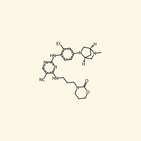 CCc1cc(N2C[C@H]3C[C@@H]2CN3C)ccc1Nc1ncc(C#N)c(NCCCN2CCCOC2=O)n1